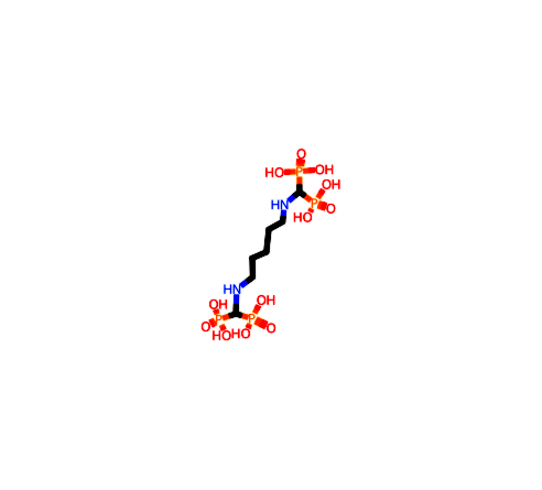 O=P(O)(O)C(NCCCCCNC(P(=O)(O)O)P(=O)(O)O)P(=O)(O)O